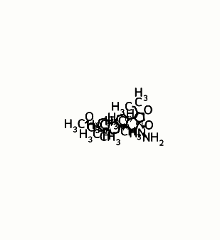 CC(=O)O[C@H]1CC[C@]2(C)[C@H]3CC[C@@H]4C5=C(C(C)C)C(=O)C[C@]5(C(=O)NN)CC[C@@]4(C)[C@]3(C)CC[C@H]2C1(C)C